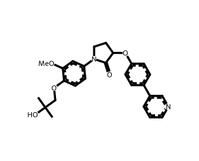 COc1cc(N2CCC(Oc3ccc(-c4cccnc4)cc3)C2=O)ccc1OCC(C)(C)O